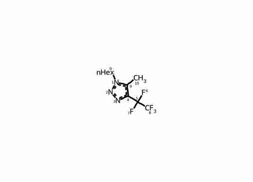 CCCCCCn1nnc(C(F)(F)C(F)(F)F)c1C